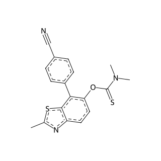 Cc1nc2ccc(OC(=S)N(C)C)c(-c3ccc(C#N)cc3)c2s1